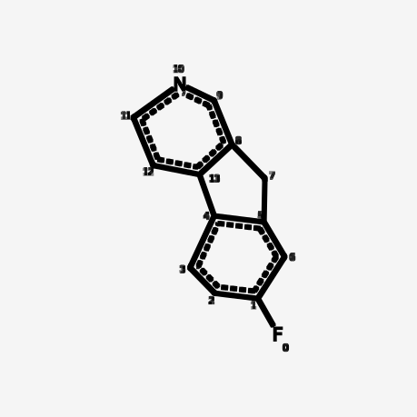 Fc1ccc2c(c1)Cc1cnccc1-2